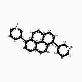 c1cncc(-c2ccc3ccc4c(-c5cccnc5)ccc5ccc2c3c54)c1